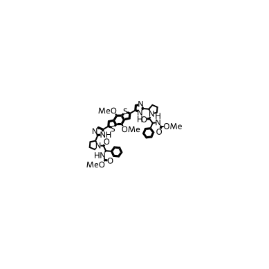 COC(=O)NC(C(=O)N1CCCC1c1ncc(-c2cc3c(OC)c4sc(-c5cnc(C6CCCN6C(=O)C(NC(=O)OC)c6ccccc6)[nH]5)cc4c(OC)c3s2)[nH]1)c1ccccc1